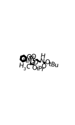 CC(C)OC(=O)[C@H](C)NP(=O)(Oc1ccccc1)SCCNC(=O)OC(C)(C)C